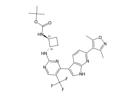 Cc1noc(C)c1-c1ccc2c(-c3nc(N[C@H]4CC[C@@H]4NC(=O)OC(C)(C)C)ncc3C(F)(F)F)c[nH]c2n1